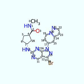 CNC(=O)[C@@H]1CC[C@@H](Nc2ncc3c(Br)nn(-c4ccn5nccc5c4)c3n2)C1